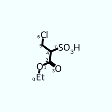 CCOC(=O)C(CCl)S(=O)(=O)O